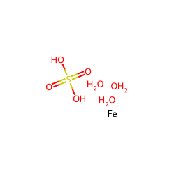 O.O.O.O=S(=O)(O)O.[Fe]